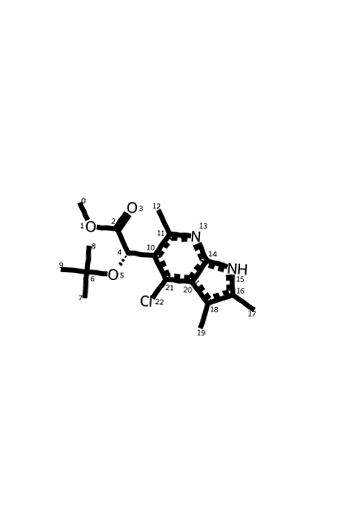 COC(=O)[C@@H](OC(C)(C)C)c1c(C)nc2[nH]c(C)c(C)c2c1Cl